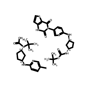 CC(C)(C)N(C(=O)O)[C@H]1CC[C@H](Nc2ccc(I)cn2)C1.CC(C)(C)OC(=O)N[C@H]1CC[C@H](Nc2ccc(-n3c(=O)[nH]c4ccsc4c3=O)cn2)C1